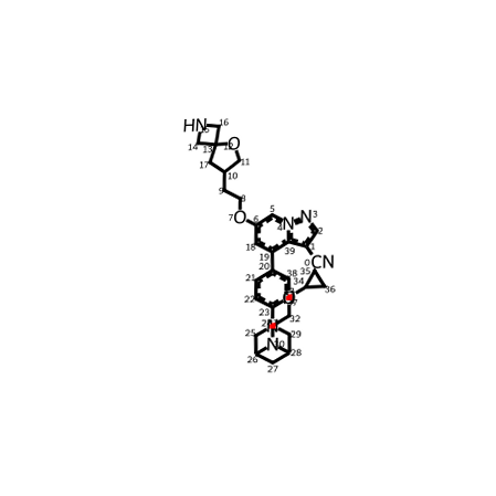 N#Cc1cnn2cc(OCCC3COC4(CNC4)C3)cc(-c3ccc(N4CC5CC(C4)N5CCOC4CC4)nc3)c12